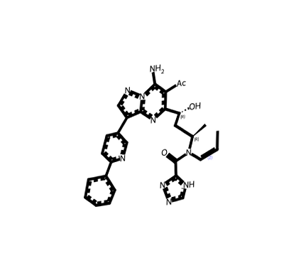 C/C=C\N(C(=O)c1nnc[nH]1)[C@H](C)C[C@@H](O)c1nc2c(-c3ccc(-c4ccccc4)nc3)cnn2c(N)c1C(C)=O